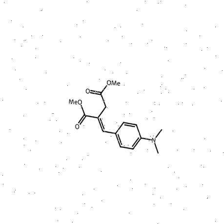 COC(=O)C/C(=C\c1ccc(N(C)C)cc1)C(=O)OC